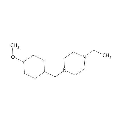 CCN1CCN(CC2CCC(OC)CC2)CC1